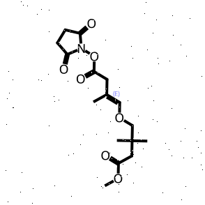 COC(=O)CC(C)(C)CO/C=C(\C)CC(=O)ON1C(=O)CCC1=O